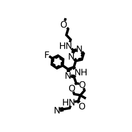 COCCCNc1nccc(-c2[nH]c(C3OCC(C)(C(=O)NCC#N)CO3)nc2-c2ccc(F)cc2)n1